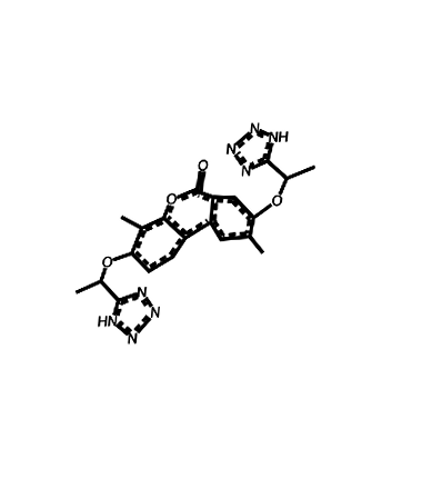 Cc1cc2c(cc1OC(C)c1nnn[nH]1)c(=O)oc1c(C)c(OC(C)c3nnn[nH]3)ccc12